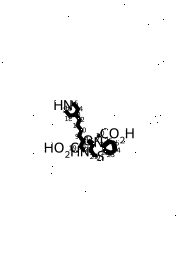 O=C(O)CN1C(=O)C(N[C@H](CCCCCC2CCNCC2)C(=O)O)CSc2ccccc21